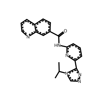 CC(C)n1cnnc1-c1cccc(NC(=O)c2ccc3cccnc3c2)n1